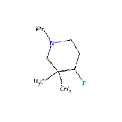 CC(C)N1CCC(F)C(C)(C)C1